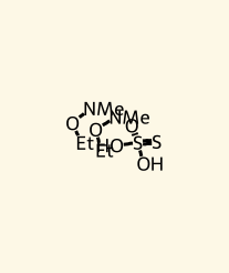 CCONC.CCONC.O=S(O)(O)=S